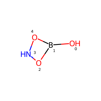 OB1ONO1